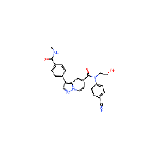 CNC(=O)c1ccc(-c2cnn3ccc(C(=O)N(CCO)c4ccc(C#N)cc4)cc23)cc1